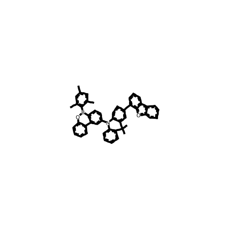 Cc1cc(C)c(B2Oc3ccccc3-c3cc(N4c5ccccc5C(C)(C)c5cc(-c6cccc7c6oc6ccccc67)ccc54)ccc32)c(C)c1